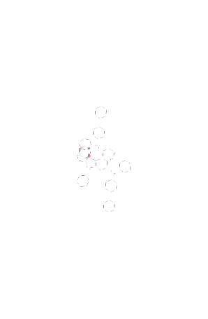 c1ccc(-c2ccc(N(c3ccccc3)c3cc4c(c5c(N(c6ccccc6)c6ccc(-c7ccccc7)cc6)cccc35)c3c5ccccc5ccc3n4-c3ccccc3)cc2)cc1